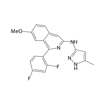 COc1ccc2cc(Nc3cc(C)[nH]n3)nc(-c3ccc(F)cc3F)c2c1